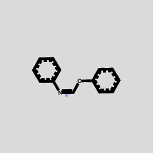 C(=N/c1ccccc1)/Oc1ccccc1